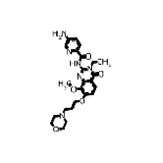 CCn1c(NC(=O)c2ccc(N)cn2)nc2c(OC)c(OCCCN3CCOCC3)ccc2c1=O